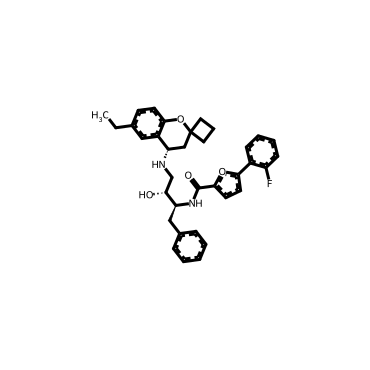 CCc1ccc2c(c1)[C@@H](NC[C@@H](O)[C@H](Cc1ccccc1)NC(=O)c1ccc(-c3ccccc3F)o1)CC1(CCC1)O2